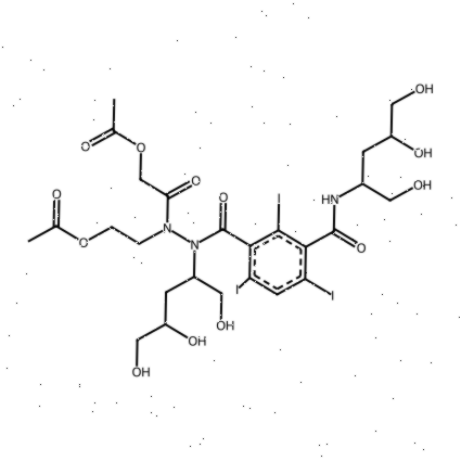 CC(=O)OCCN(C(=O)COC(C)=O)N(C(=O)c1c(I)cc(I)c(C(=O)NC(CO)CC(O)CO)c1I)C(CO)CC(O)CO